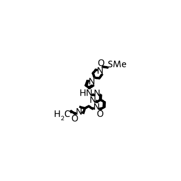 C=CC(=O)N1CC(CCn2c(=O)ccc3cnc(Nc4ccn(C5CCN(C(=O)CSC)CC5)c4)nc32)C1